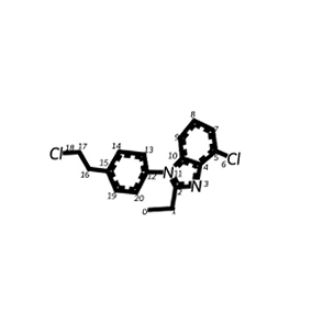 CCc1nc2c(Cl)cccc2n1-c1ccc(CCCl)cc1